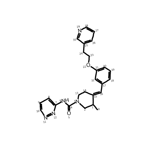 CC1CN(C(=O)Nc2cccnn2)CC/C1=C\c1cccc(OCCc2cccnc2)c1